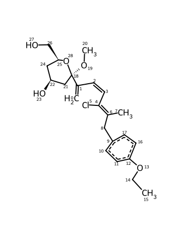 C=C(/C=C\C(Cl)=C(/C)Cc1ccc(OCC)cc1)[C@@]1(OC)C[C@@H](O)C[C@@H](CO)O1